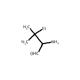 CCC(C)(C)C(N)C=O